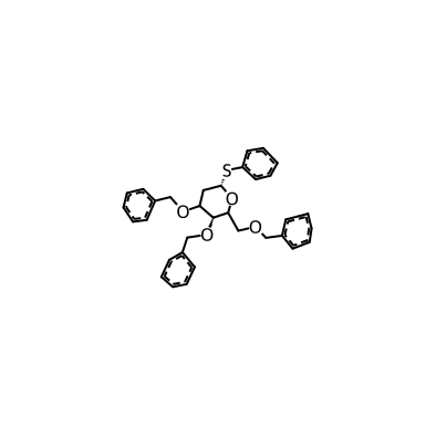 c1ccc(COCC2O[C@@H](Sc3ccccc3)CC(OCc3ccccc3)[C@@H]2OCc2ccccc2)cc1